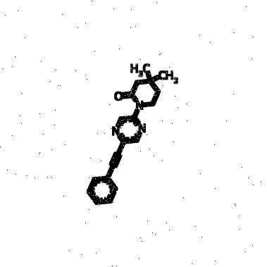 CC1(C)CCN(c2cnc(C#Cc3ccccc3)cn2)C(=O)C1